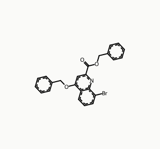 O=C(OCc1ccccc1)c1cc(OCc2ccccc2)c2cccc(Br)c2n1